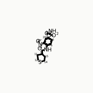 NS(=O)(=O)c1ccc(NCC2CCSCC2)c([N+](=O)[O-])c1